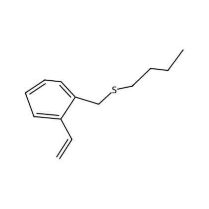 C=Cc1ccccc1CSCCCC